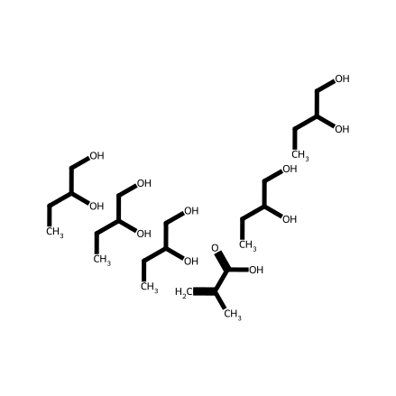 C=C(C)C(=O)O.CCC(O)CO.CCC(O)CO.CCC(O)CO.CCC(O)CO.CCC(O)CO